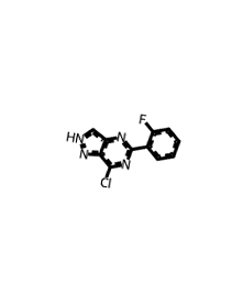 Fc1ccccc1-c1nc(Cl)c2n[nH]cc2n1